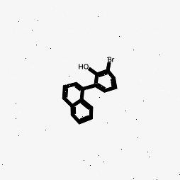 Oc1c(Br)cccc1-c1cccc2ccccc12